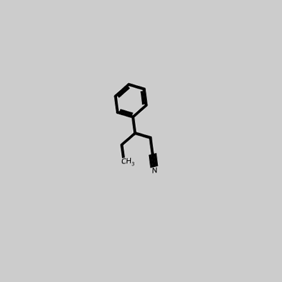 CC[C](CC#N)c1ccccc1